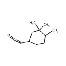 CC1CCC(N=C=O)CC1(C)C